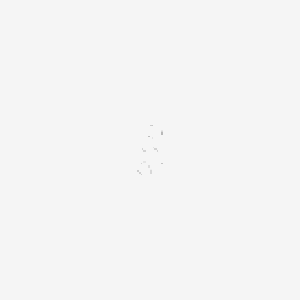 CCCOc1ccc(F)c2c(=O)c(-c3ccc(OC(F)(F)F)cc3)c[nH]c12